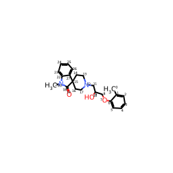 Cc1ccccc1OCC(O)CN1CCC2(CC1)C(=O)N(C)c1ccccc12